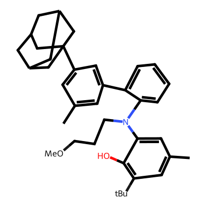 COCCCN(c1ccccc1-c1cc(C)cc(C23CC4CC(CC(C4)C2)C3)c1)c1cc(C)cc(C(C)(C)C)c1O